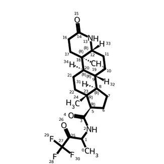 CC(NC(=O)[C@@H]1CC[C@@H]2[C@H]3CC[C@H]4NC(=O)CC[C@]4(C)[C@@H]3CC[C@]21C)C(=O)C(F)(F)F